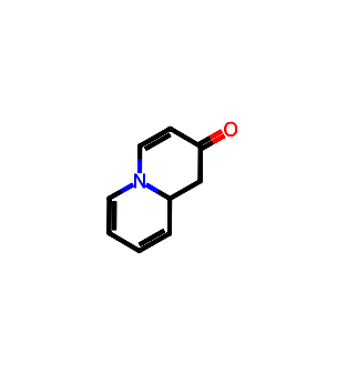 O=C1C=CN2C=CC=CC2C1